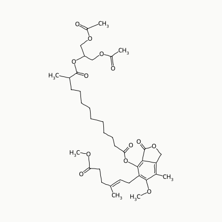 COC(=O)CC/C(C)=C/Cc1c(OC)c(C)c2c(c1OC(=O)CCCCCCCCCC(C)C(=O)OC(COC(C)=O)COC(C)=O)C(=O)OC2